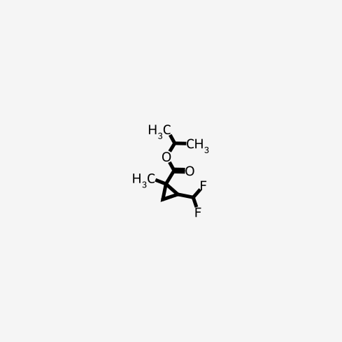 CC(C)OC(=O)C1(C)CC1C(F)F